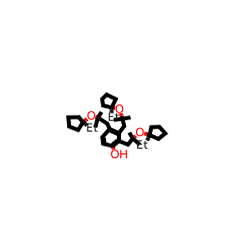 CCC1(OC(C)(C)Cc2ccc(O)c(CC(C)(C)OC3(CC)CCCC3)c2CC(C)(C)OC2(CC)CCCC2)CCCC1